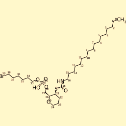 CCCCCCCCCCCCCCCCCNC(=O)S[C@H]1CCCO[C@H]1COP(=O)(O)OCCCCCCBr